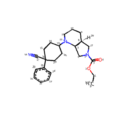 CCOC(=O)N1CC2[C@@H](CCCN2C2CCC(C#N)(c3ccccc3)CC2)C1